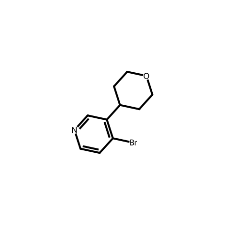 Brc1ccncc1C1CCOCC1